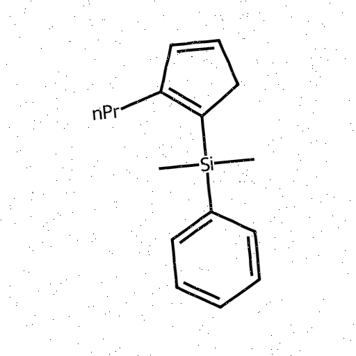 CCCC1=C([Si](C)(C)c2ccccc2)CC=C1